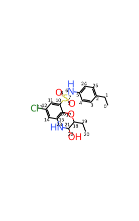 CCc1ccc(NS(=O)(=O)c2cc(Cl)cc3c2OC(CC)C(O)N3)cc1